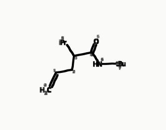 C=CCC(C(=O)NC(C)(C)C)C(C)C